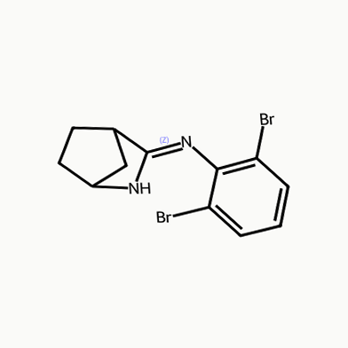 Brc1cccc(Br)c1/N=C1\NC2CCC1C2